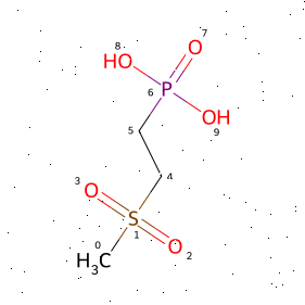 CS(=O)(=O)CCP(=O)(O)O